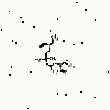 C=CN(C=O)CCC(C)(C)CC(C)CN(C=C)C=O